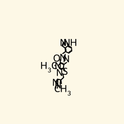 Cn1cc(Cc2nc3c(s2)c2cnn(Cc4cccc5[nH]ncc45)c(=O)c2n3C)cn1